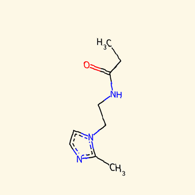 CCC(=O)NCCn1ccnc1C